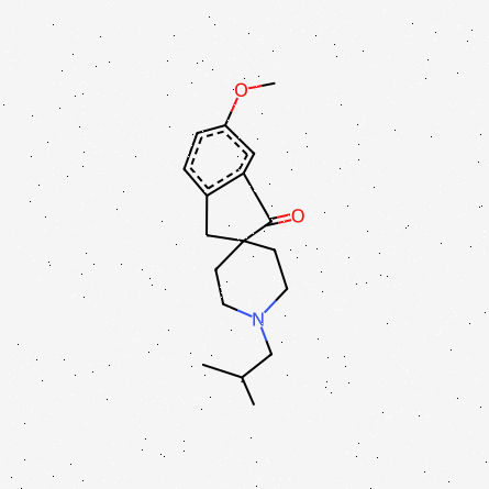 COc1ccc2c(c1)C(=O)C1(CCN(C[C](C)C)CC1)C2